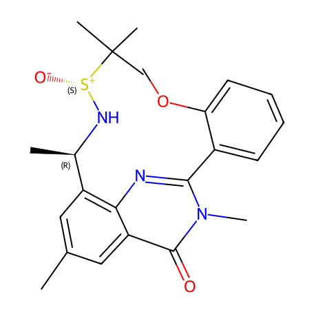 COc1ccccc1-c1nc2c([C@@H](C)N[S@+]([O-])C(C)(C)C)cc(C)cc2c(=O)n1C